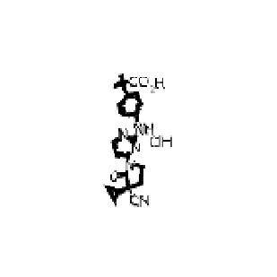 CC(C)(C(=O)O)c1ccc(Nc2nccc(N3CC[C@@](C#N)(C4CC4)C3=O)n2)cc1.Cl